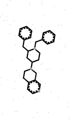 c1ccc(CC2CC(N3CCc4ccncc4C3)CCN2Cc2ccccc2)cc1